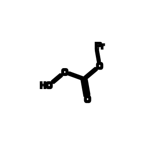 CC(C)OC(=O)OO